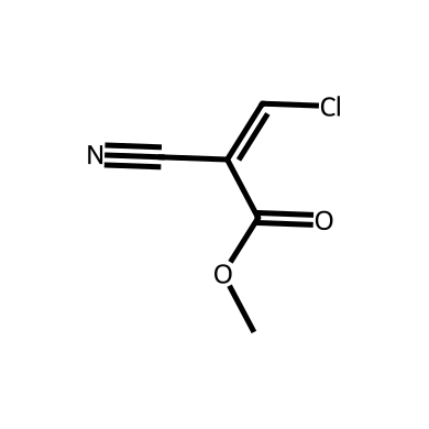 COC(=O)/C(C#N)=C\Cl